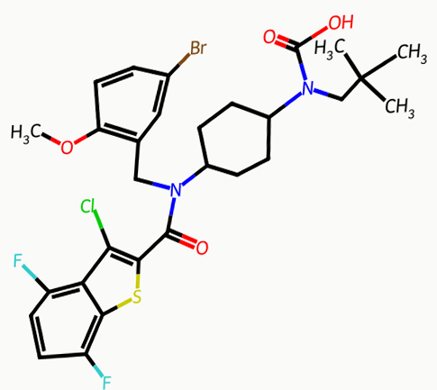 COc1ccc(Br)cc1CN(C(=O)c1sc2c(F)ccc(F)c2c1Cl)C1CCC(N(CC(C)(C)C)C(=O)O)CC1